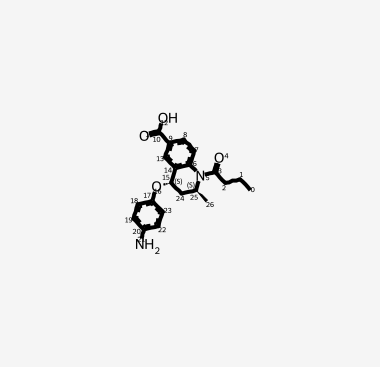 CCCC(=O)N1c2ccc(C(=O)O)cc2[C@@H](Oc2ccc(N)cc2)C[C@@H]1C